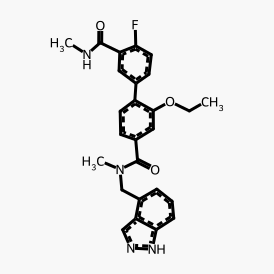 CCOc1cc(C(=O)N(C)Cc2cccc3[nH]ncc23)ccc1-c1ccc(F)c(C(=O)NC)c1